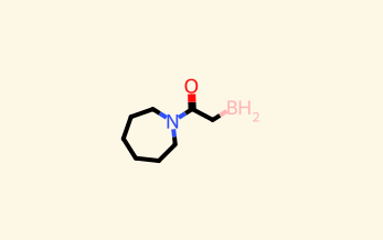 BCC(=O)N1CCCCCC1